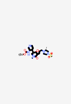 C[C@@H]1CN(S(C)(=O)=O)CCN1Cc1cc2c(=O)n(C)cc(-c3ccncc3NC(=O)OC(C)(C)C)c2o1